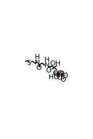 CCSCCNC(=O)CCNC(=O)C(O)C(C)(C)COP(=O)(O)OP(=O)(O)OC